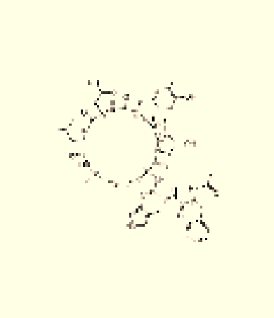 CC(=O)N[C@H](Cc1ccccc1)C(=O)N[C@H](Cc1c[nH]cn1)C(=O)N[C@@H]1CSSC[C@H](C)NC(=O)C(CC(C)C)NC(=O)[C@@H](CC(=O)O)NC(=O)[C@@H](Cc2ccc(O)c(Cl)c2)NC(=O)[C@H]2CC(O)CN2C1=O